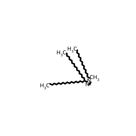 CCCCCCCCCCCCCCCCCC(CCCCCCCCCCCCCCCC)c1nccn1C(C)CCCCCCCCCCCCCCC